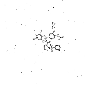 O=C(O[C@@H](CC1=C(Cl)C[NH+]([O-])C=C1Cl)c1ccc(OC(F)F)c(OCC2CC2)c1)[C@@H]1SCCN1S(=O)(=O)c1cccnc1